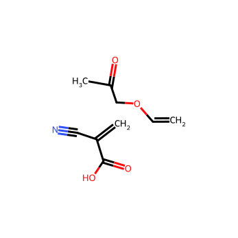 C=C(C#N)C(=O)O.C=COCC(C)=O